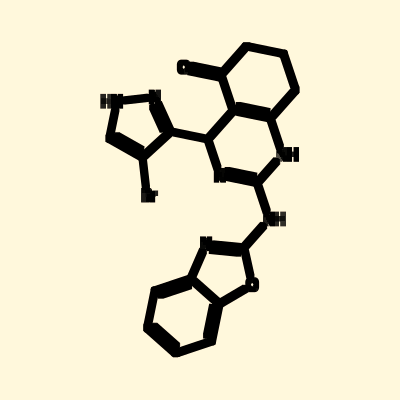 O=C1CCCC2=C1C(c1n[nH]cc1Br)N=C(Nc1nc3ccccc3o1)N2